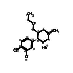 Br.CCOC[C@H]1CN(C)CC[C@@H]1c1ccc(Cl)c(Cl)c1